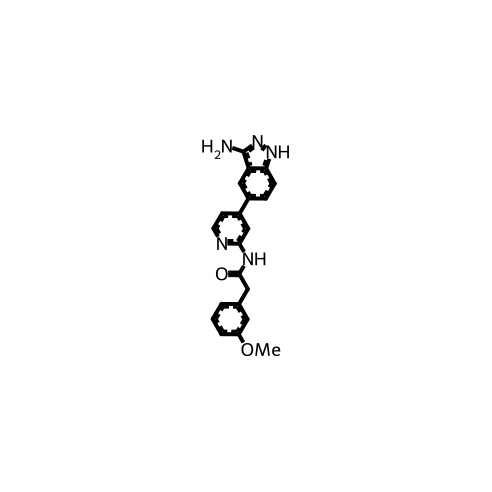 COc1cccc(CC(=O)Nc2cc(-c3ccc4[nH]nc(N)c4c3)ccn2)c1